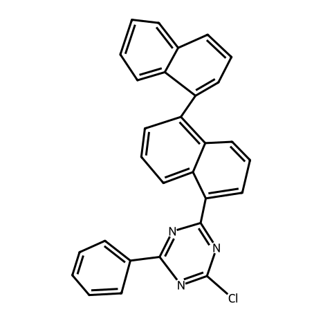 Clc1nc(-c2ccccc2)nc(-c2cccc3c(-c4cccc5ccccc45)cccc23)n1